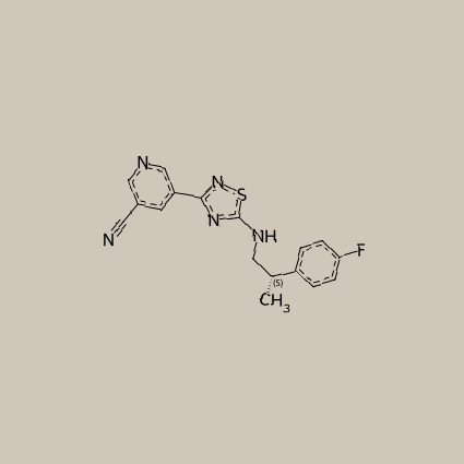 C[C@H](CNc1nc(-c2cncc(C#N)c2)ns1)c1ccc(F)cc1